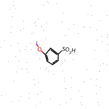 O=S(=O)(O)c1cccc(OI)c1